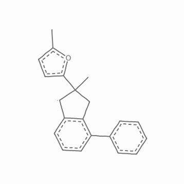 Cc1ccc(C2(C)[CH]c3cccc(-c4ccccc4)c3C2)o1